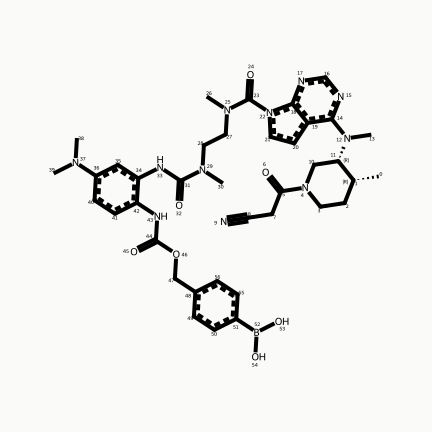 C[C@@H]1CCN(C(=O)CC#N)C[C@@H]1N(C)c1ncnc2c1ccn2C(=O)N(C)CCN(C)C(=O)Nc1cc(N(C)C)ccc1NC(=O)OCc1ccc(B(O)O)cc1